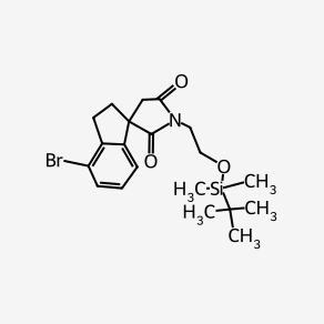 CC(C)(C)[Si](C)(C)OCCN1C(=O)CC2(CCc3c(Br)cccc32)C1=O